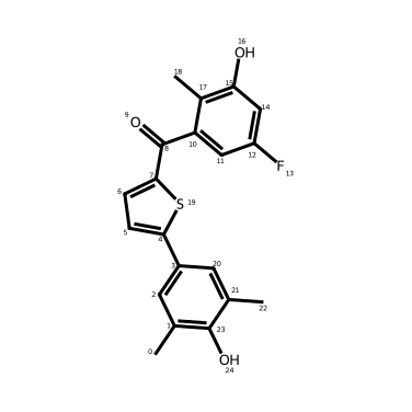 Cc1cc(-c2ccc(C(=O)c3cc(F)cc(O)c3C)s2)cc(C)c1O